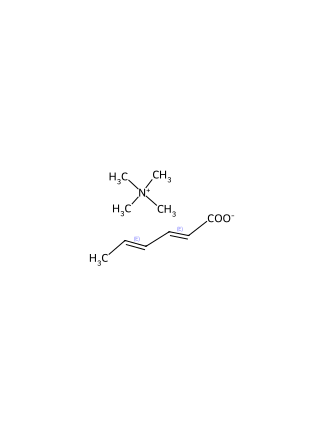 C/C=C/C=C/C(=O)[O-].C[N+](C)(C)C